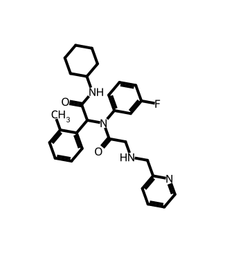 Cc1ccccc1C(C(=O)NC1CCCCC1)N(C(=O)CNCc1ccccn1)c1cccc(F)c1